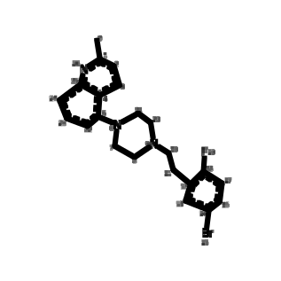 Cc1ccc2c(N3CCN(CCc4cc(Br)ccc4F)CC3)cccc2n1